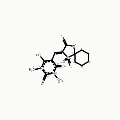 Cn1c(O)c(C=C2C(=O)OC3(CCCCC3)S2(=O)=O)c(=O)n(C)c1=O